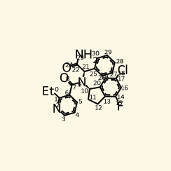 CCc1ncccc1C(=O)N([C@@H]1CCc2c(F)cc(Cl)cc21)[C@@H](C(N)=O)c1ccccc1